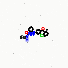 Cc1ccccc1C(=O)c1ccc(Nc2ccccc2NC(=O)NC(C)(C)C)cc1Cl